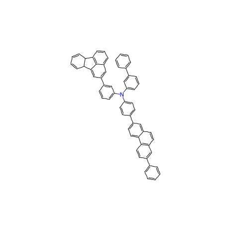 C1=CC2c3cccc4cc(-c5cccc(N(c6ccc(-c7ccc8c(ccc9cc(-c%10ccccc%10)ccc98)c7)cc6)c6cccc(-c7ccccc7)c6)c5)cc(c34)C2C=C1